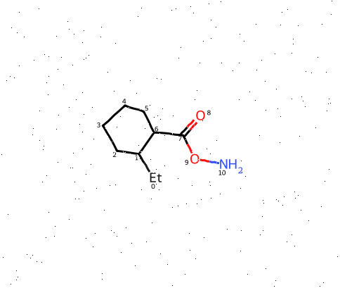 CCC1CCCCC1C(=O)ON